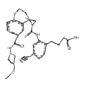 COC1CN(NC(=O)c2ccc3c(c2)[C@]2(CCO3)C[C@H]2C(=O)Nc2cc(C#N)ccc2CCCC(=O)O)C1